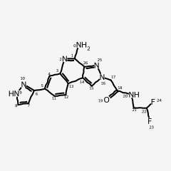 Nc1nc2cc(-c3cc[nH]n3)ccc2c2cn(CC(=O)NCC(F)F)nc12